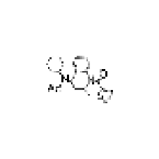 CC(=O)N(C1CCCCC1)C1CC(C)N(C(=O)c2cccs2)c2ccccc21